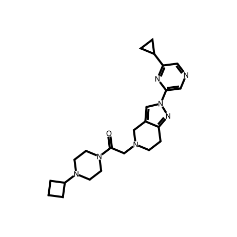 O=C(CN1CCc2nn(-c3cncc(C4CC4)n3)cc2C1)N1CCN(C2CCC2)CC1